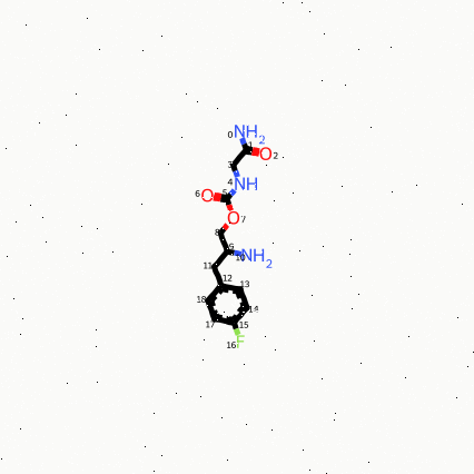 NC(=O)CNC(=O)OCC(N)Cc1ccc(F)cc1